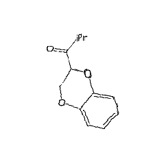 CC(C)C(=O)C1COc2ccccc2O1